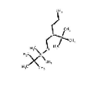 CCCN([CH]O[Si](C)(C)C(C)(C)C)[Si](C)(C)C